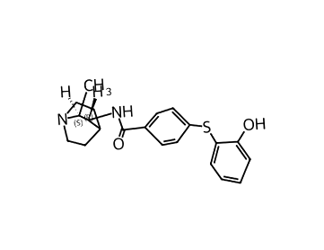 C[C@H]1[C@H](NC(=O)c2ccc(Sc3ccccc3O)cc2)C2CCN1CC2